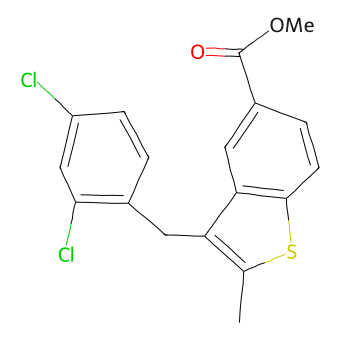 COC(=O)c1ccc2sc(C)c(Cc3ccc(Cl)cc3Cl)c2c1